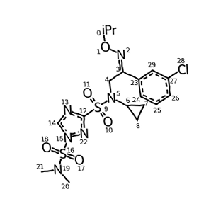 CC(C)O/N=C(\CN(C1CC1)S(=O)(=O)c1ncn(S(=O)(=O)N(C)C)n1)c1cccc(Cl)c1